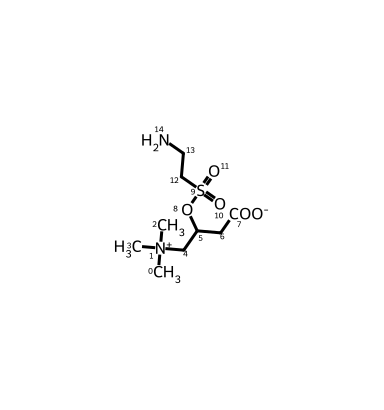 C[N+](C)(C)CC(CC(=O)[O-])OS(=O)(=O)CCN